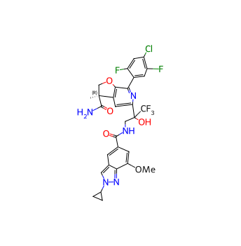 COc1cc(C(=O)NCC(O)(c2cc3c(c(-c4cc(F)c(Cl)cc4F)n2)OC[C@]3(C)C(N)=O)C(F)(F)F)cc2cn(C3CC3)nc12